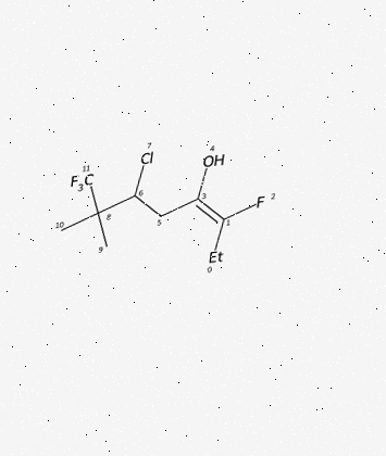 CC/C(F)=C(/O)CC(Cl)C(C)(C)C(F)(F)F